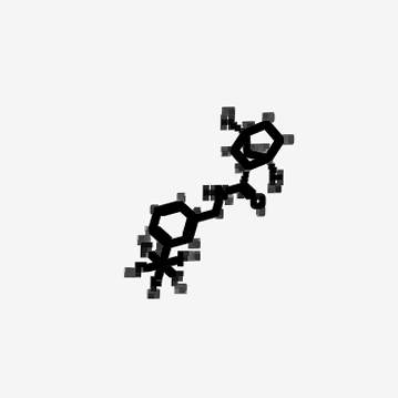 O=C(NCc1cccc(S(F)(F)(F)(F)F)c1)[C@@H]1C[C@H]2CC[C@@H]1C2